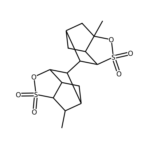 CC1C2CC3C(OS(=O)(=O)C13)C2C1C2CC3C1S(=O)(=O)OC3(C)C2